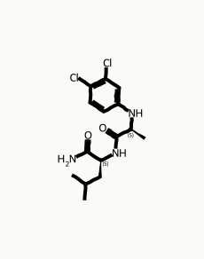 CC(C)C[C@H](NC(=O)[C@H](C)Nc1ccc(Cl)c(Cl)c1)C(N)=O